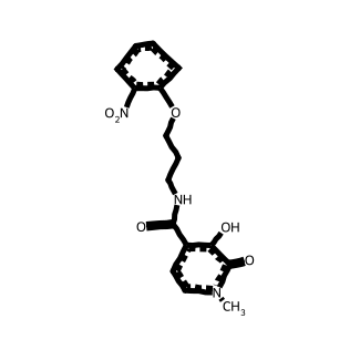 Cn1ccc(C(=O)NCCCOc2ccccc2[N+](=O)[O-])c(O)c1=O